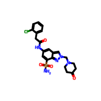 NS(=O)(=O)c1cc(NC(=O)Cc2ccccc2Cl)cc2cn(CN3CCC(=O)CC3)nc12